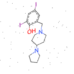 Oc1c(I)cc(I)cc1CN1CCC(N2CCCC2)CC1